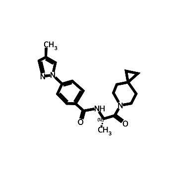 Cc1cnn(-c2ccc(C(=O)N[C@@H](C)C(=O)N3CCC4(CC3)CC4)cc2)c1